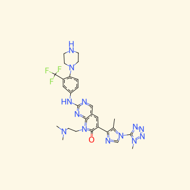 Cc1c(-c2cc3cnc(Nc4ccc(N5CCNCC5)c(C(F)(F)F)c4)nc3n(CCN(C)C)c2=O)ncn1-c1nnnn1C